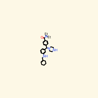 CCN(CC)C(=O)c1ccc(C(c2cccc(NCC3=CCCCC3)c2)N2CCNCC2)cc1